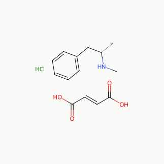 CN[C@@H](C)Cc1ccccc1.Cl.O=C(O)/C=C/C(=O)O